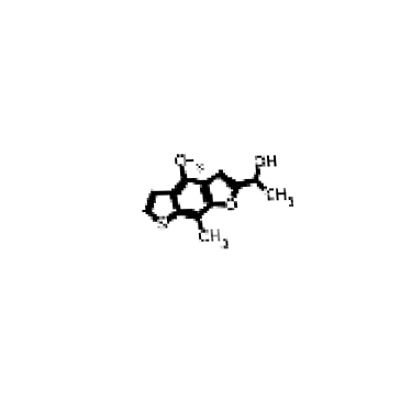 Cc1c2cc(C(C)O)oc2c(C)c2sccc12